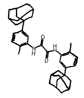 Cc1ccc(C23CC4CC(CC(C4)C2)C3)cc1NC(=O)C(=O)Nc1cc(C23CC4CC(CC(C4)C2)C3)ccc1C